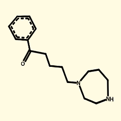 O=C(CCCCN1CCCNCC1)c1ccccc1